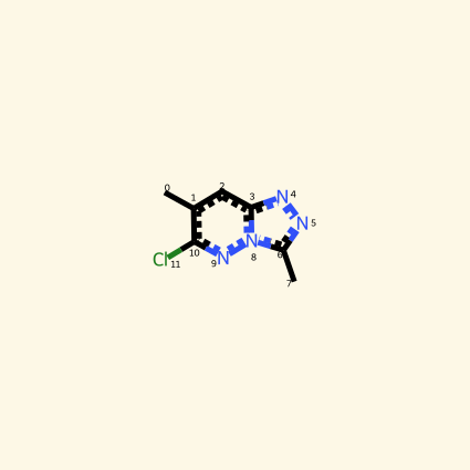 Cc1cc2nnc(C)n2nc1Cl